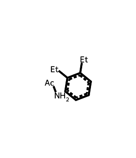 CC(N)=O.CCc1ccccc1CC